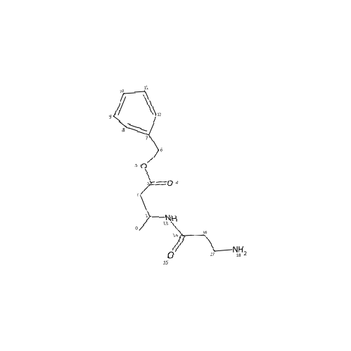 CC(CC(=O)OCc1ccccc1)NC(=O)CCN